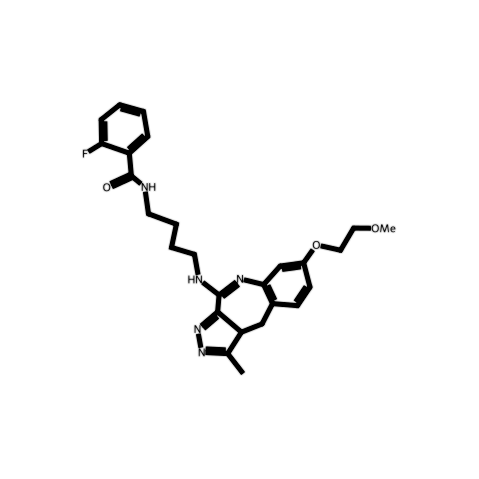 COCCOc1ccc2c(c1)N=C(NCCCCNC(=O)c1ccccc1F)C1=NN=C(C)C1C2